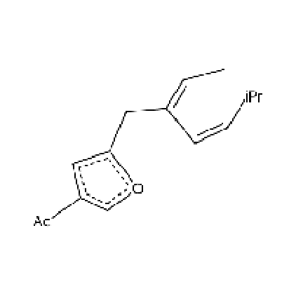 C/C=C(\C=C/C(C)C)Cc1cc(C(C)=O)co1